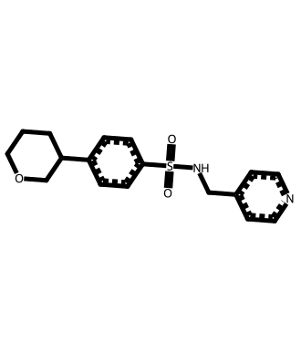 O=S(=O)(NCc1ccncc1)c1ccc(C2CCCOC2)cc1